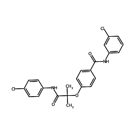 CC(C)(Oc1ccc(C(=O)Nc2cccc(Cl)c2)cc1)C(=O)Nc1ccc(Cl)cc1